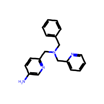 Nc1ccc(CN(Cc2ccccc2)Cc2ccccn2)nc1